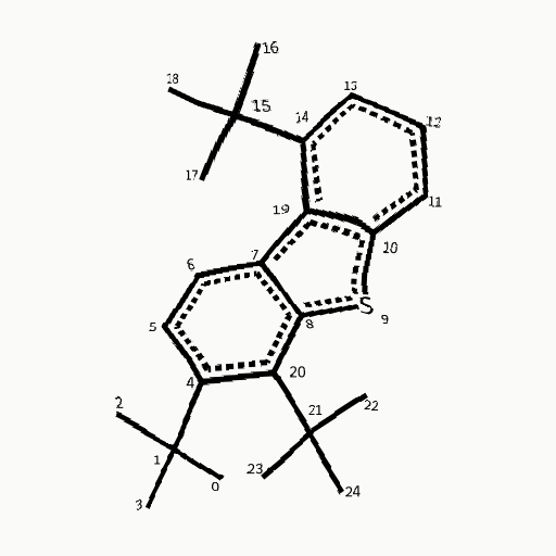 CC(C)(C)c1ccc2c(sc3cccc(C(C)(C)C)c32)c1C(C)(C)C